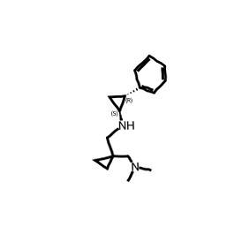 CN(C)CC1(CN[C@H]2C[C@@H]2c2ccccc2)CC1